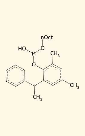 CCCCCCCCOP(O)Oc1c(C)cc(C)cc1C(C)c1ccccc1